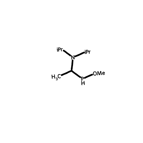 COPC(C)N(C(C)C)C(C)C